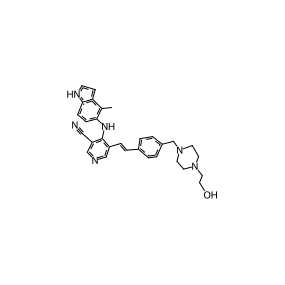 Cc1c(Nc2c(C#N)cncc2C=Cc2ccc(CN3CCN(CCO)CC3)cc2)ccc2[nH]ccc12